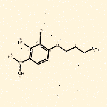 CCCCOc1ccc(B(O)O)c(S)c1F